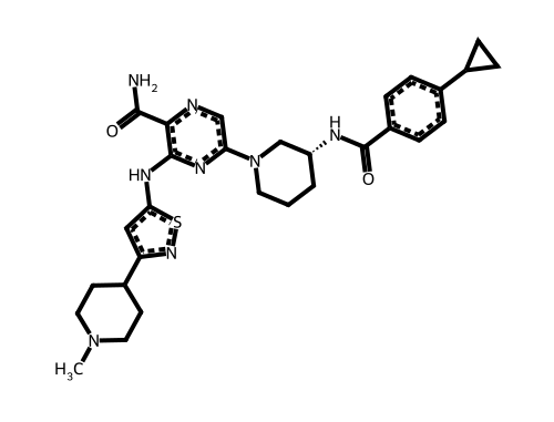 CN1CCC(c2cc(Nc3nc(N4CCC[C@@H](NC(=O)c5ccc(C6CC6)cc5)C4)cnc3C(N)=O)sn2)CC1